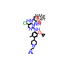 CN/C=C(/Nc1nc(Nc2cc(C)c(C3CCN(CCN(C)C)CC3)cc2OC2CC2)ncc1Cl)C(=N)S(=O)(=O)C(C)C